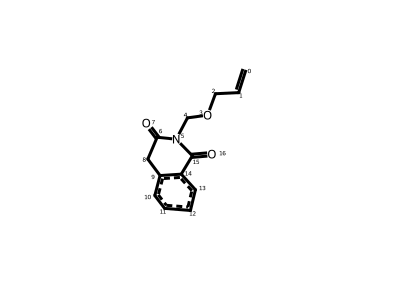 C=CCOCN1C(=O)Cc2ccccc2C1=O